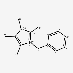 Cc1c(C)[n+](Cc2ccccc2)c(C)n1C